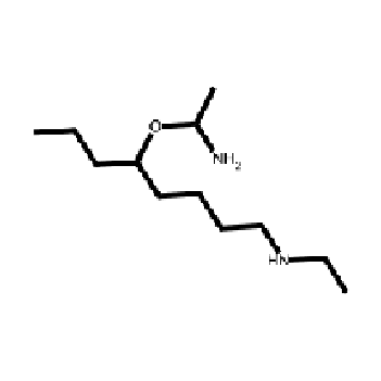 CCCC(CCCCNCC)OC(C)N